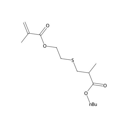 C=C(C)C(=O)OCCSCC(C)C(=O)OCCCC